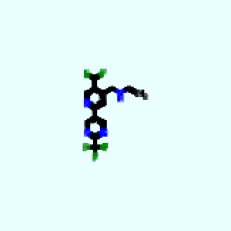 C=CNCc1cc(-c2cnc(C(F)(F)F)nc2)ncc1C(F)F